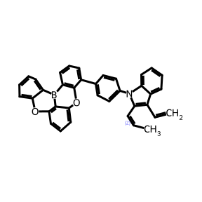 C=Cc1c(/C=C\C)n(-c2ccc(-c3cccc4c3Oc3cccc5c3B4c3ccccc3O5)cc2)c2ccccc12